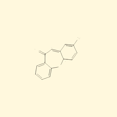 NC1=CC2=CC(=O)c3ccccc3SC2C=C1